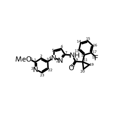 COc1cc(-n2ccc(NC(=O)C3(c4ccccc4F)CC3)n2)ccn1